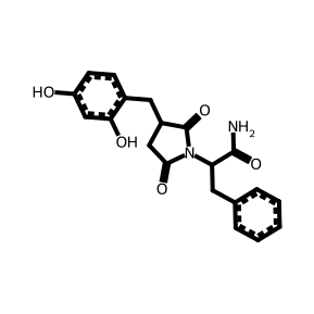 NC(=O)C(Cc1ccccc1)N1C(=O)CC(Cc2ccc(O)cc2O)C1=O